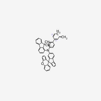 C=C/C=C(\C=C/C)c1ccc(N(c2ccc3c(c2)C2(c4ccccc4Oc4ccccc42)c2ccccc2-3)c2cccc3c2C(C)(C)c2ccccc2-3)cc1